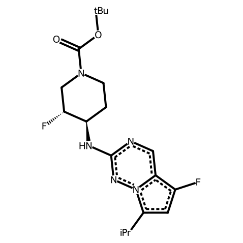 CC(C)c1cc(F)c2cnc(N[C@@H]3CCN(C(=O)OC(C)(C)C)C[C@H]3F)nn12